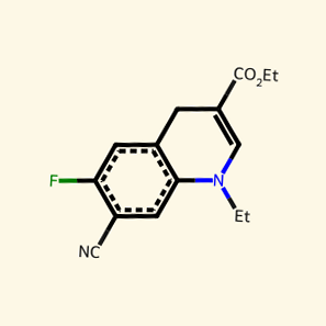 CCOC(=O)C1=CN(CC)c2cc(C#N)c(F)cc2C1